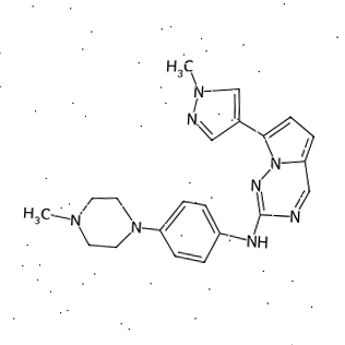 CN1CCN(c2ccc(Nc3ncc4ccc(-c5cnn(C)c5)n4n3)cc2)CC1